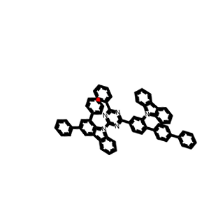 c1ccc(-c2ccc(-c3ccc(-c4nc(-c5ccccc5)nc(-n5c6ccccc6c6cc(-c7ccccc7)cc(-c7ccccc7)c65)n4)cc3-n3c4ccccc4c4ccccc43)cc2)cc1